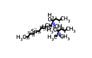 CCCC(C)N(C)C.CCCC(C)N(C)C.CCC[CH2][Sn][CH2]CCC